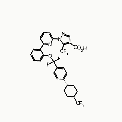 O=C(O)c1cnn(-c2cccc(-c3ccccc3OC(F)(F)c3ccc([C@H]4CC[C@H](C(F)(F)F)CC4)cc3)n2)c1C(F)(F)F